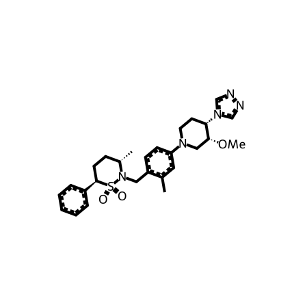 CO[C@@H]1CN(c2ccc(CN3[C@@H](C)CC[C@H](c4ccccc4)S3(=O)=O)c(C)c2)CC[C@@H]1n1cnnc1